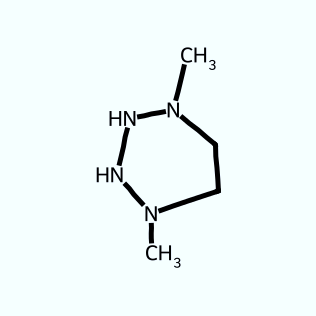 CN1CCN(C)NN1